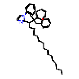 CCCCCCCCCCCCCCCC(c1nccn1-c1ccccc1)C(C)(Cc1ccccc1)c1ccccc1